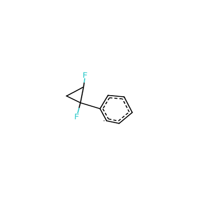 FC1CC1(F)c1[c]cccc1